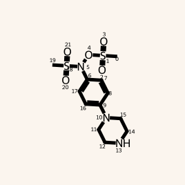 CS(=O)(=O)ON(c1ccc(N2CCNCC2)cc1)S(C)(=O)=O